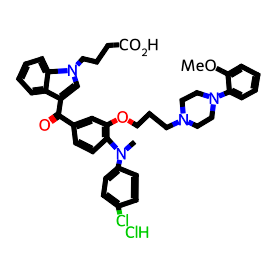 COc1ccccc1N1CCN(CCCOc2cc(C(=O)c3cn(CCCC(=O)O)c4ccccc34)ccc2N(C)c2ccc(Cl)cc2)CC1.Cl